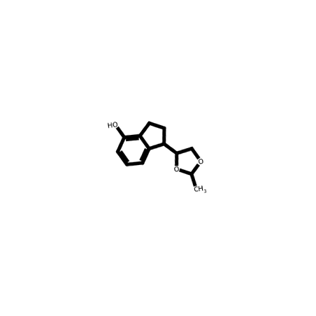 CC1OCC(C2CCc3c(O)cccc32)O1